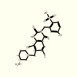 CC(C)S(=O)(=O)c1ccc(Cl)cc1Cn1c(=O)[nH]c2c(Cl)c(CN3CCC[C@@H](N)C3)c(F)cc2c1=O